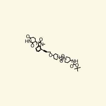 Cn1c(=O)n(C2CCC(=O)NC2=O)c2cccc(C#CCOC3CCN(S(=O)(=O)N4CCC(NC(=O)OC(C)(C)C)CC4)CC3)c21